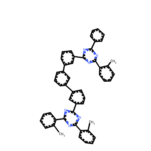 Cc1ccccc1-c1nc(-c2ccccc2)nc(-c2cccc(-c3cccc(-c4cccc(-c5nc(-c6ccccc6C)nc(-c6ccccc6C)n5)c4)c3)c2)n1